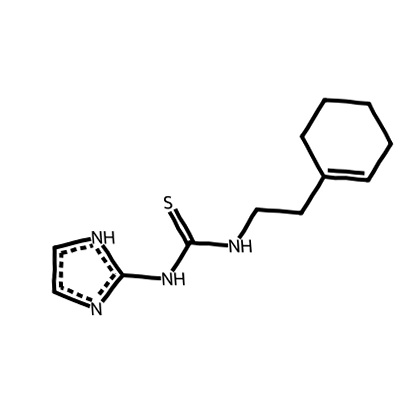 S=C(NCCC1=CCCCC1)Nc1ncc[nH]1